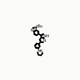 CC(C)(C)n1cnc2ccc(-c3c[nH]c4ncc(-c5cccc(N6CCCCS6)c5)cc34)cc21